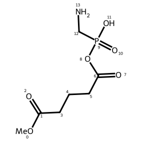 COC(=O)CCCC(=O)OP(=O)(O)CN